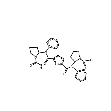 O=C(O)N1CCCC1N(C(=O)c1ccc(C(=O)N(c2ccccc2)C2CCCN2C(=O)O)o1)c1ccccc1